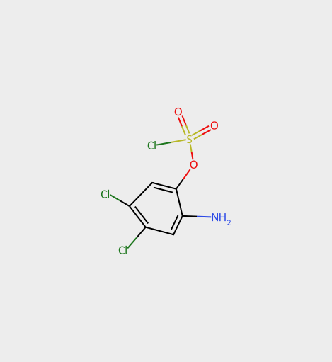 Nc1cc(Cl)c(Cl)cc1OS(=O)(=O)Cl